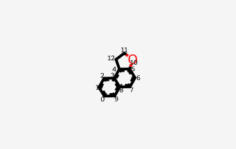 c1ccc2c3c(ccc2c1)OCC3